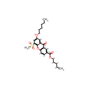 CCCCCCOc1cc(S(C)(=O)=O)c2oc3ccc(C(=O)OCCCCC)cc3c(=O)c2c1